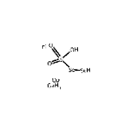 O=S(=O)(O)[Se][SeH].[Cu].[GaH3].[In]